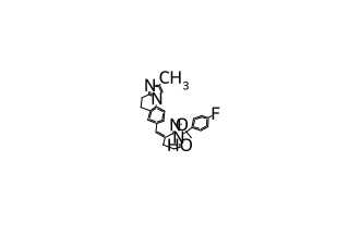 Cc1cn2c(n1)CCc1cc(/C=C3/CCCN4C3=NOC4(CO)c3ccc(F)cc3)ccc1-2